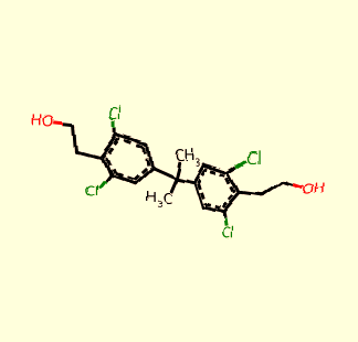 CC(C)(c1cc(Cl)c(CCO)c(Cl)c1)c1cc(Cl)c(CCO)c(Cl)c1